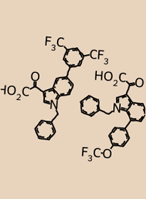 O=C(O)C(=O)c1cn(Cc2ccccc2)c2c(-c3ccc(OC(F)(F)F)cc3)cccc12.O=C(O)C(=O)c1cn(Cc2ccccc2)c2ccc(-c3cc(C(F)(F)F)cc(C(F)(F)F)c3)cc12